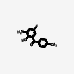 Cc1ccc(C(=O)c2cc(F)cc(N)c2O)cc1